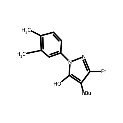 CCCCc1c(CC)nn(-c2ccc(C)c(C)c2)c1O